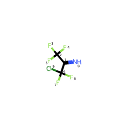 N=C(C(F)(F)F)C(F)(F)Cl